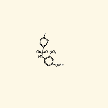 COc1ccc(NS(=O)(=O)c2ccc(C)cc2)c([N+](=O)[O-])c1